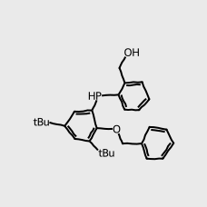 CC(C)(C)c1cc(Pc2ccccc2CO)c(OCc2ccccc2)c(C(C)(C)C)c1